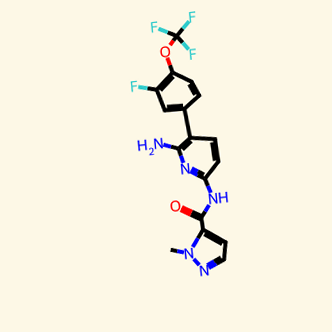 Cn1nccc1C(=O)Nc1ccc(-c2ccc(OC(F)(F)F)c(F)c2)c(N)n1